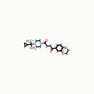 CC(C)(C1CC1)N1CCN(C(=O)CCC(=O)c2ccc3c(c2)OCCO3)CC1